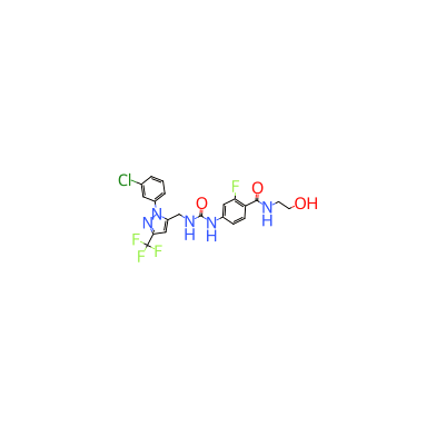 O=C(NCc1cc(C(F)(F)F)nn1-c1cccc(Cl)c1)Nc1ccc(C(=O)NCCO)c(F)c1